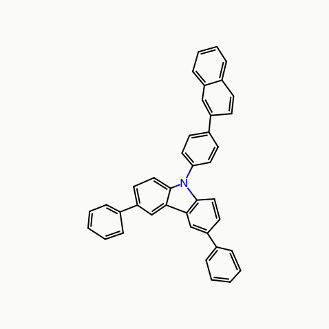 c1ccc(-c2ccc3c(c2)c2cc(-c4ccccc4)ccc2n3-c2ccc(-c3ccc4ccccc4c3)cc2)cc1